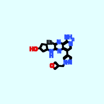 CCc1nc2c(N)ncc(-c3cnn(CC4COC4)c3)c2nc1N[C@@H]1CC[C@H](O)C1